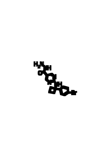 NNC(=O)c1cnc(NC2(c3ccc(Br)cc3)CCC2)nc1